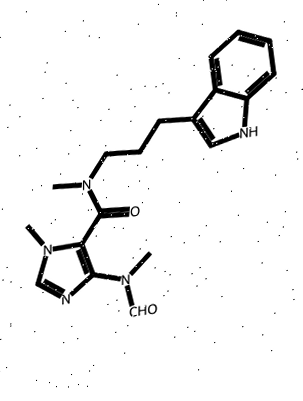 CN(CCCc1c[nH]c2ccccc12)C(=O)c1c(N(C)C=O)ncn1C